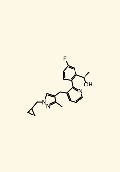 Cc1nn(CC2CC2)cc1Cc1cccnc1-c1ccc(F)cc1[C@@H](C)O